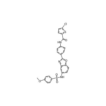 COc1ccc(S(=O)(=O)Nc2ccc3oc(-c4ccc(NC(=O)c5ccc(Cl)s5)cc4)nc3c2)cc1